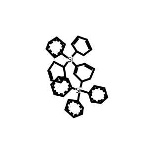 C1=CCC([Si](C2=CC([Si](c3ccccc3)(c3ccccc3)c3ccccc3)CC=C2)(c2ccccc2)C2C=CC=CC2)C=C1